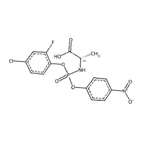 C[C@H](NP(=O)(Oc1ccc([N+](=O)[O-])cc1)Oc1ccc(Cl)cc1F)C(=O)O